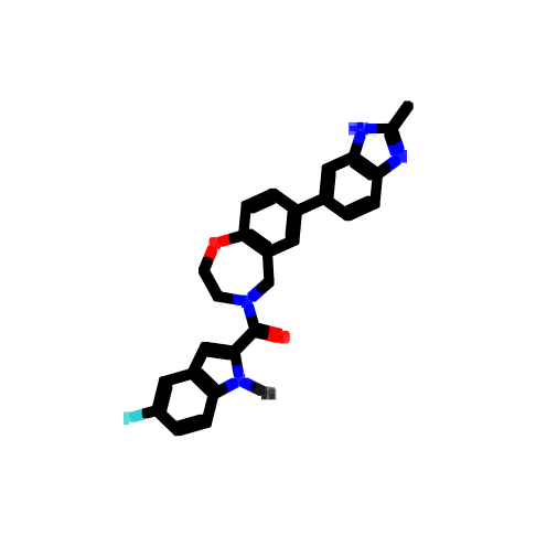 CCn1c(C(=O)N2CCOc3ccc(-c4ccc5nc(C)[nH]c5c4)cc3C2)cc2cc(F)ccc21